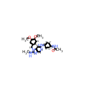 CNc1nc2cnc(Nc3ccc(NC(C)=O)cc3)cc2n1Cc1ccc(OC)c(OC)c1